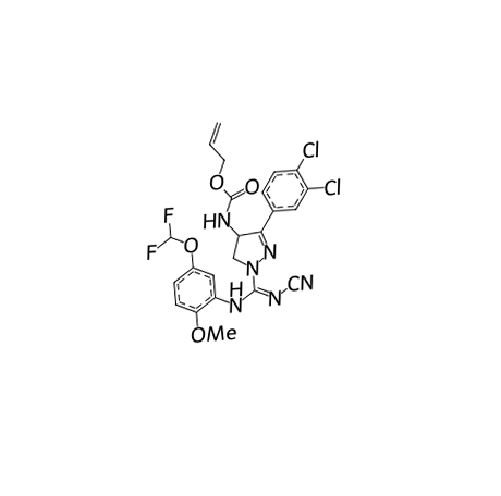 C=CCOC(=O)NC1CN(/C(=N\C#N)Nc2cc(OC(F)F)ccc2OC)N=C1c1ccc(Cl)c(Cl)c1